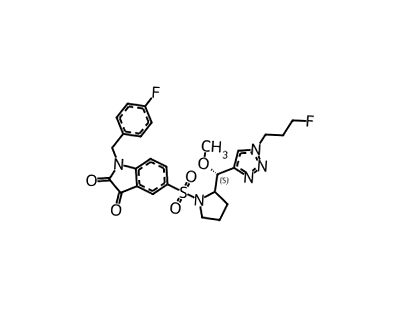 CO[C@H](c1cn(CCCF)nn1)C1CCCN1S(=O)(=O)c1ccc2c(c1)C(=O)C(=O)N2Cc1ccc(F)cc1